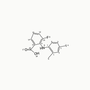 Cc1cc(I)ccc1Nc1c(F)cccc1C(=O)O